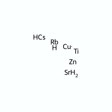 [CsH].[Cu].[RbH].[SrH2].[Ti].[Zn]